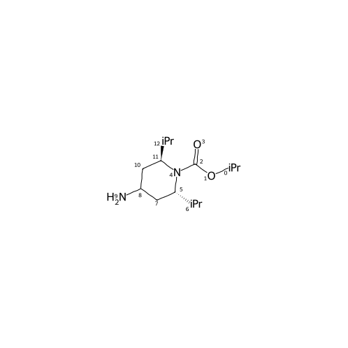 CC(C)OC(=O)N1[C@H](C(C)C)CC(N)C[C@H]1C(C)C